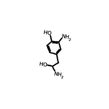 Nc1cc(CC(N)O)ccc1O